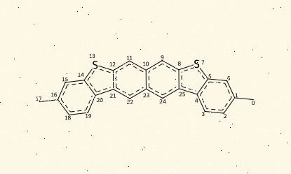 Cc1ccc2c(c1)sc1cc3cc4sc5cc(C)ccc5c4cc3cc12